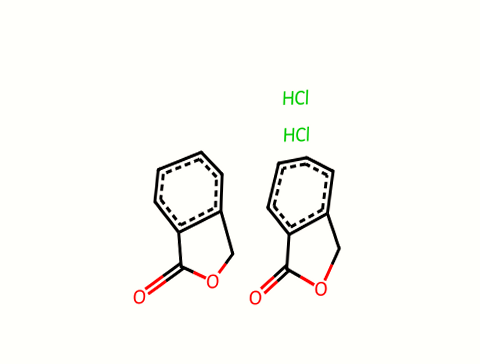 Cl.Cl.O=C1OCc2ccccc21.O=C1OCc2ccccc21